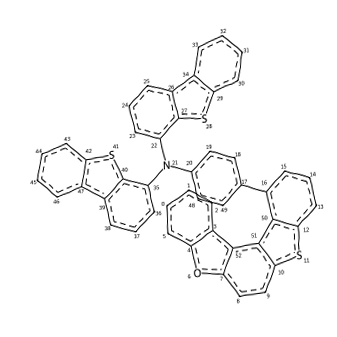 c1ccc2c(c1)oc1ccc3sc4cccc(-c5ccc(N(c6cccc7c6sc6ccccc67)c6cccc7c6sc6ccccc67)cc5)c4c3c12